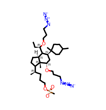 CC[C@@H](OCCCN=[N+]=[N-])C1[C@@H](C2(C)CCC(C)CC2)C[C@H](OCCCN=[N+]=[N-])[C@]2(C)C([C@H](C)CCCOS(C)(=O)=O)CC[C@@H]12